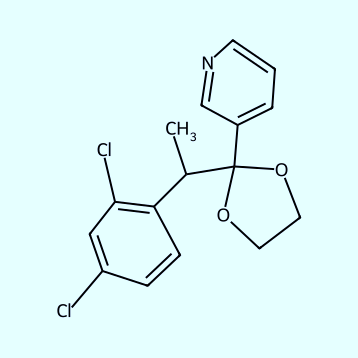 CC(c1ccc(Cl)cc1Cl)C1(c2cccnc2)OCCO1